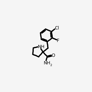 NC(=O)C1(Cc2cccc(Cl)c2F)CCCN1